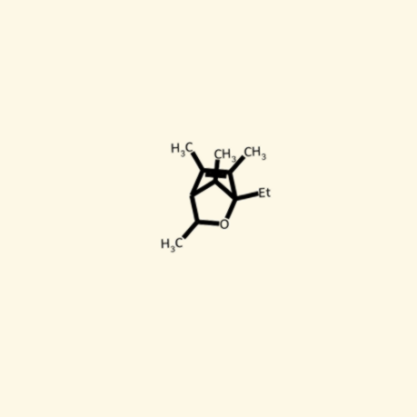 CCC12OC(C)C(C(C)=C1C)C2C